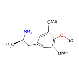 CCOc1c(OC)cc(C[C@@H](C)N)cc1OC